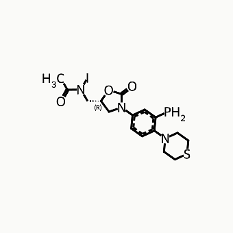 CC(=O)N(I)C[C@H]1CN(c2ccc(N3CCSCC3)c(P)c2)C(=O)O1